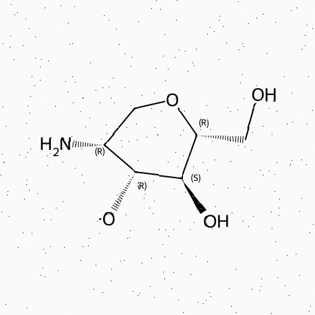 N[C@@H]1CO[C@H](CO)[C@@H](O)[C@@H]1[O]